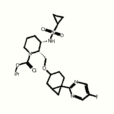 CC(C)OC(=O)N1CCC[C@H](NS(=O)(=O)C2CC2)[C@@H]1COC1CCC2(c3ncc(F)cn3)CC2C1